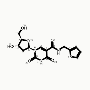 O=C(NCc1cccs1)c1cn([C@H]2C[C@H](O)[C@@H](CO)O2)c(=O)[nH]c1=O